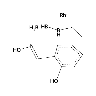 BBBCC.ON=Cc1ccccc1O.[Rh]